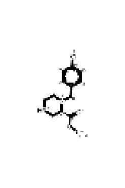 COC(=O)[C@H]1CNCCN1Cc1ccc(Cl)cc1